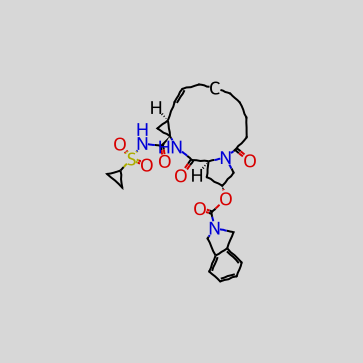 O=C1N[C@]2(C(=O)NS(=O)(=O)C3CC3)C[C@H]2/C=C\CCCCCCC(=O)N2C[C@H](OC(=O)N3Cc4ccccc4C3)C[C@@H]12